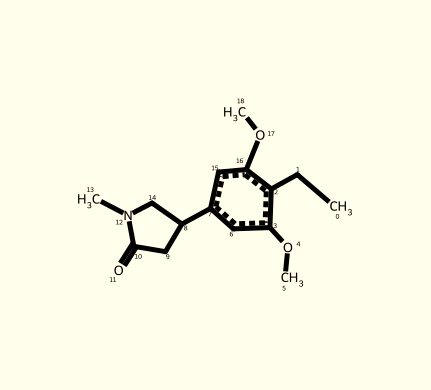 CCc1c(OC)cc(C2CC(=O)N(C)C2)cc1OC